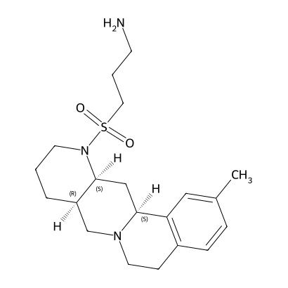 Cc1ccc2c(c1)[C@@H]1C[C@H]3[C@H](CCCN3S(=O)(=O)CCCN)CN1CC2